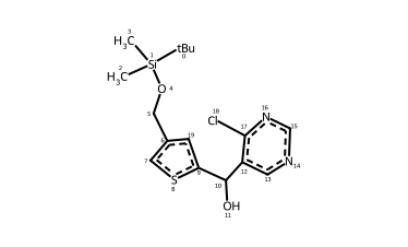 CC(C)(C)[Si](C)(C)OCc1csc(C(O)c2cncnc2Cl)c1